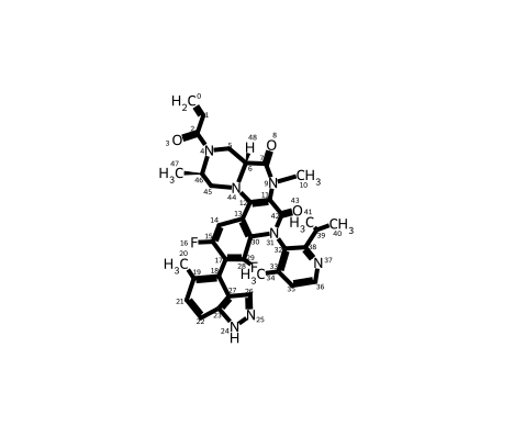 C=CC(=O)N1C[C@@H]2C(=O)N(C)c3c(c4cc(F)c(-c5c(C)ccc6[nH]ncc56)c(F)c4n(-c4c(C)ccnc4C(C)C)c3=O)N2C[C@H]1C